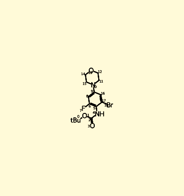 CC(C)(C)OC(=O)Nc1c(F)cc(N2CCOCC2)cc1Br